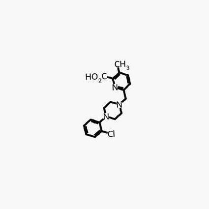 Cc1ccc(CN2CCN(c3ccccc3Cl)CC2)nc1C(=O)O